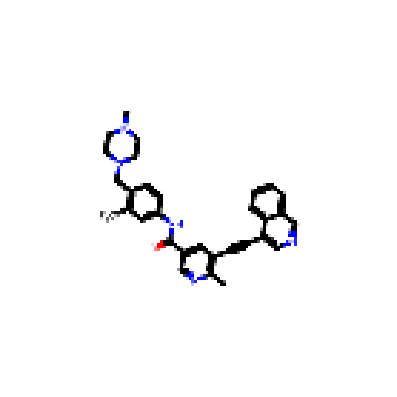 Cc1ncc(C(=O)Nc2ccc(CN3CCN(C)CC3)c(C(F)(F)F)c2)cc1C#Cc1cncc2ccccc12